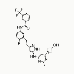 Cc1nc(Nc2cc(CCc3cc(NC(=O)c4cccc(C(F)(F)F)c4)ccc3F)n[nH]2)cc(N2CC(O)C2)n1